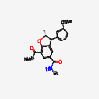 CCNC(=O)c1cc(C(=O)NC)c2c(c1)[C@H](c1cccc(OC)c1)[C@@H](C)O2